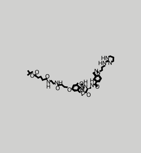 COC(=O)[C@H](CNC(=O)c1ccc2c(cnn2CCCNC2=NCCCN2)c1)NS(=O)(=O)c1c(C)cc(OCCCC(=O)NCCNC(=O)CCCC(=O)OC(C)(C)C)cc1C